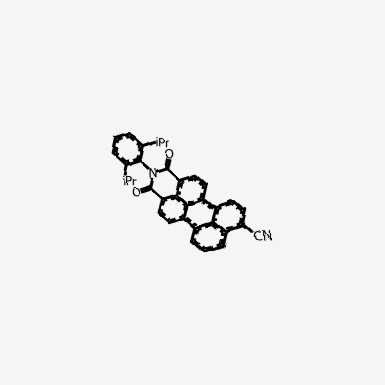 CC(C)c1cccc(C(C)C)c1N1C(=O)c2ccc3c4cccc5c(C#N)ccc(c6ccc(c2c36)C1=O)c54